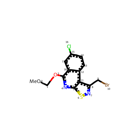 COCOc1nc2snc(CBr)c2c2ccc(Cl)cc12